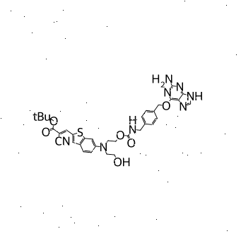 CC(C)(C)OC(=O)/C(C#N)=C/c1cc2ccc(N(CCO)CCOC(=O)NCc3ccc(COc4nc(N)nc5[nH]cnc45)cc3)cc2s1